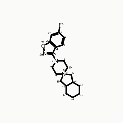 Fc1ccc2c(N3CC[N+]4(CC3)CC3CCCCC3C4)noc2c1